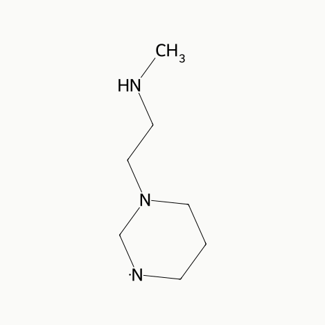 CNCCN1CCC[N]C1